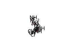 NCC1CCN(c2cc3c(cc2F)c(=O)c(C(=O)OCC2=C(C(=O)O)N4C(=O)[C@@H](NC(=O)Cn5cc(Cl)c(=O)c(Cl)c5)[C@H]4SC2)cn3C2CC2)C1